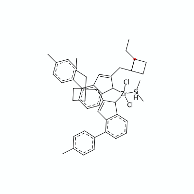 CCCC1(CC2=Cc3c(-c4ccc(C)cc4)cccc3[CH]2[Zr]([Cl])([Cl])([CH]2C(CC3(CCC)CCC3)=Cc3c(-c4ccc(C)cc4)cccc32)[SiH](C)C)CCC1